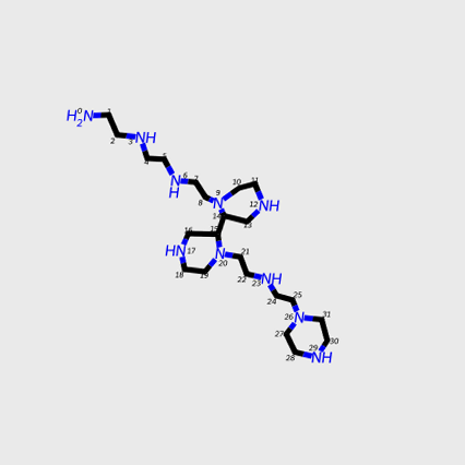 NCCNCCNCCN1CCNCC1C1CNCCN1CCNCCN1CCNCC1